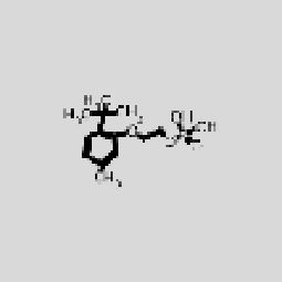 Cc1ccc(C(C)(C)C)c(OCCOP(=O)(O)O)c1